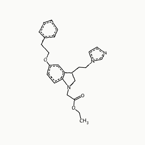 CCOC(=O)CN1CC(CCn2ccnc2)c2cc(OCCc3ccccc3)ccc21